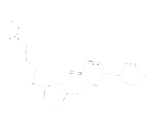 CC(C)NC/C=C/C(=O)N1CCC(Nc2cc(-c3ccncc3)c[nH]c2=O)C1